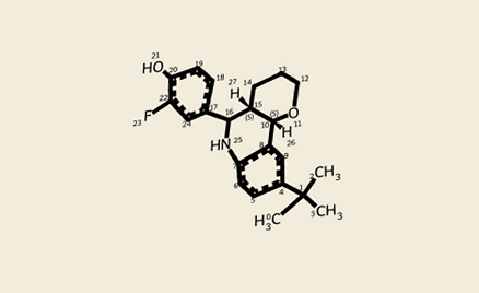 CC(C)(C)c1ccc2c(c1)[C@H]1OCCC[C@H]1C(c1ccc(O)c(F)c1)N2